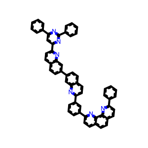 c1ccc(-c2cc(-c3ccc4ccc(-c5ccc6ccc(-c7cccc(-c8ccc9ccc%10ccc(-c%11ccccc%11)nc%10c9n8)c7)nc6c5)cc4n3)nc(-c3ccccc3)n2)cc1